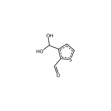 O=Cc1sccc1C(O)O